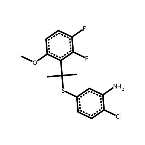 COc1ccc(F)c(F)c1C(C)(C)Sc1ccc(Cl)c(N)c1